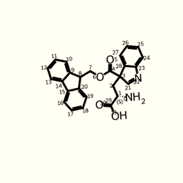 N[C@@H](CC1(C(=O)OCC2c3ccccc3-c3ccccc32)C=Nc2ccccc21)C(=O)O